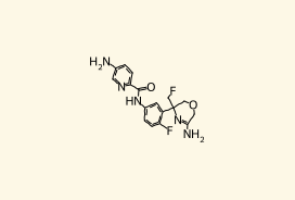 NC1=NC(CF)(c2cc(NC(=O)c3ccc(N)cn3)ccc2F)COC1